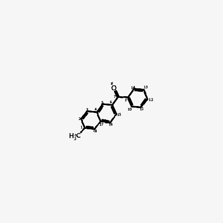 Cc1ccc2cc(C(=O)c3ccccc3)ccc2c1